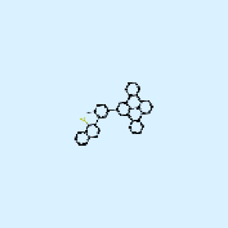 Cc1ccc(-c2cc3c4ccccc4c4cccc5c6ccccc6c(c2)c3c45)cc1-c1ccc2ccccc2c1S